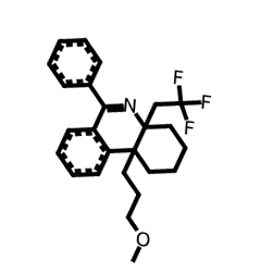 COCCCC12CCCCC1(CC(F)(F)F)N=C(c1ccccc1)c1ccccc12